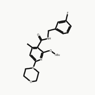 CCCCOc1nc(N2CCOCC2)cc(C)c1C(=O)NCc1cccc(F)c1